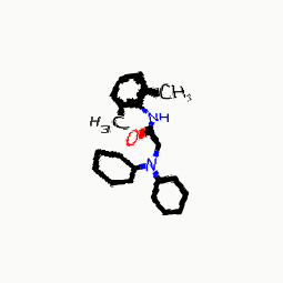 Cc1cccc(C)c1NC(=O)CN(C1CCCCC1)C1CCCCC1